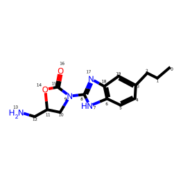 CCCc1ccc2[nH]c(N3CC(CN)OC3=O)nc2c1